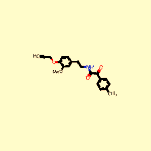 C#CCOc1ccc(CCNC(=O)C(=O)c2ccc(C)cc2)cc1OC